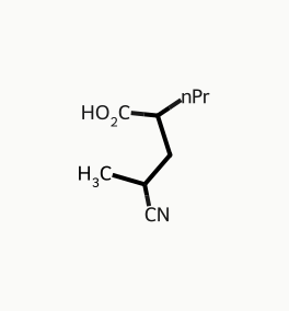 CCCC(CC(C)C#N)C(=O)O